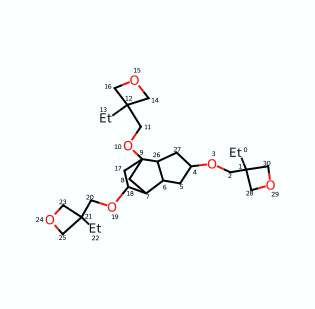 CCC1(COC2CC3C4CC(OCC5(CC)COC5)(CC4OCC4(CC)COC4)C3C2)COC1